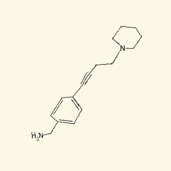 NCc1ccc(C#CCCN2CCCCC2)cc1